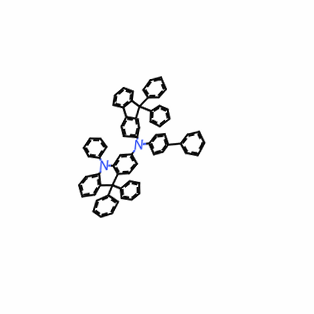 c1ccc(-c2ccc(N(c3ccc4c(c3)N(c3ccccc3)c3ccccc3C4(c3ccccc3)c3ccccc3)c3ccc4c(c3)C(c3ccccc3)(c3ccccc3)c3ccccc3-4)cc2)cc1